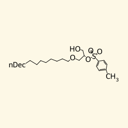 CCCCCCCCCCCCCCCCCCOCC(CO)OS(=O)(=O)c1ccc(C)cc1